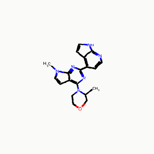 CC1COCCN1c1nc(-c2ccnc3[nH]ccc23)nc2c1ccn2C